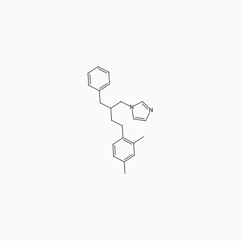 Cc1ccc(CCC(Cc2ccccc2)Cn2ccnc2)c(C)c1